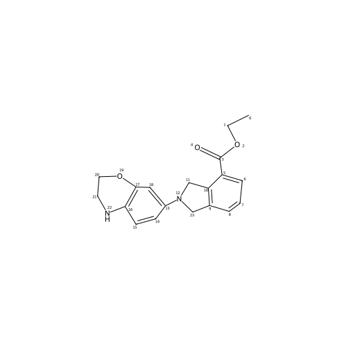 CCOC(=O)c1cccc2c1CN(c1ccc3c(c1)OCCN3)C2